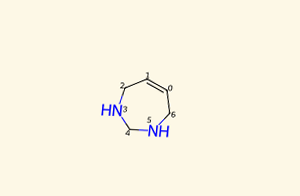 C1=CCNCNC1